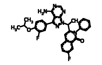 CC(C)Oc1ccc(-c2nn(C(C)c3cc4ccc(F)cc4c(=O)n3-c3ccccc3)c3ncnc(N)c23)cc1F